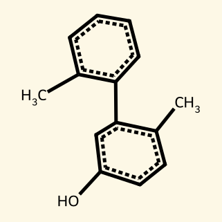 Cc1ccccc1-c1cc(O)ccc1C